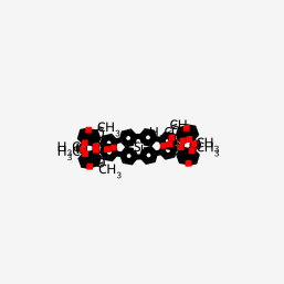 COc1ccccc1N(c1ccc(-c2ccc3c(c2)[Si]2(c4cc(-c5ccc(N(c6ccccc6OC)c6ccccc6OC)cc5)ccc4-3)c3cc(-c4ccc(N(c5ccccc5OC)c5ccccc5OC)cc4)ccc3-c3ccc(-c4ccc(N(c5ccccc5OC)c5ccccc5OC)cc4)cc32)cc1)c1ccccc1OC